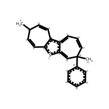 CC1C=Cc2sc3c(c2C=C1)=CC=CC(C)(c1ccccc1)C=3